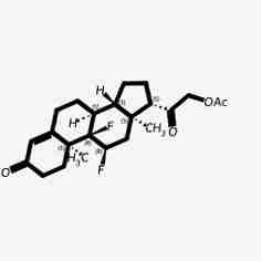 CC(=O)OCC(=O)[C@H]1CC[C@H]2[C@@H]3CCC4=CC(=O)CC[C@]4(C)[C@@]3(F)[C@H](F)C[C@]12C